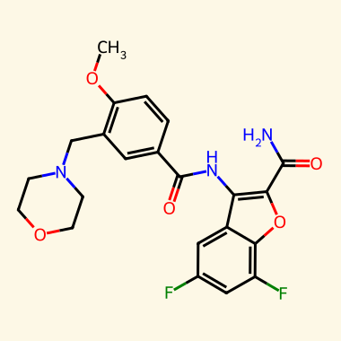 COc1ccc(C(=O)Nc2c(C(N)=O)oc3c(F)cc(F)cc23)cc1CN1CCOCC1